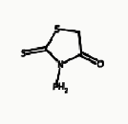 O=C1CSC(=S)N1P